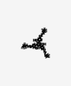 CC(C)(C)[Si](C)(C)CCCOc1ccc(-c2nc(-c3ccc(OCCC[Si](C)(C)C(C)(C)C)cc3O)nc(-c3ccc(OCCC[Si](C)(C)C(C)(C)C)cc3O)n2)c(O)c1